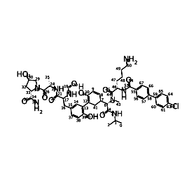 CC(C)NC(=O)[C@H](C1C=CC(O)=C(c2cc(C[C@H](NC=O)C(=O)N[C@@H](C)C(=O)N3C[C@H](O)C[C@H]3C(N)=O)ccc2O)C1)N(C)C(=O)[C@H](CCCCN)NC(=O)c1ccc(-c2ccc(Cl)cc2)cc1